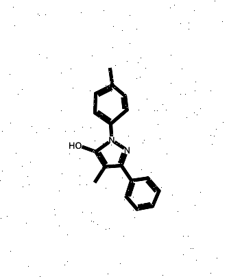 Cc1ccc(-n2nc(-c3ccccc3)c(C)c2O)cc1